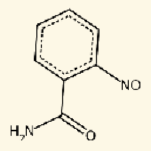 NC(=O)c1ccccc1N=O